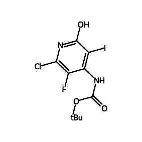 CC(C)(C)OC(=O)Nc1c(F)c(Cl)nc(O)c1I